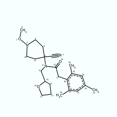 CON1CCC(C#N)(N(CC2CCCO2)C(=O)Cc2c(C)cc(C)cc2C)CC1